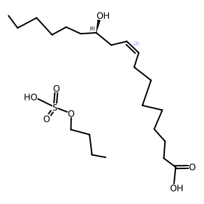 CCCCCC[C@@H](O)C/C=C\CCCCCCCC(=O)O.CCCCOS(=O)(=O)O